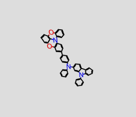 c1ccc(N(c2ccc(-c3ccc4c(c3)Oc3cccc5c3N4c3ccccc3O5)cc2)c2ccc3c4ccccc4n(-c4ccccc4)c3c2)cc1